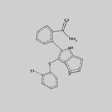 CCc1ccccc1Sc1c(-c2ccccc2C(N)=O)[nH]c2ccsc12